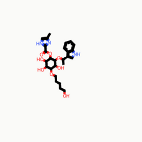 Cc1c[nH]c(C(=O)OC2C(O)C(O)C(OCCCCCO)C(O)C2OC(C)c2c[nH]c3ccccc23)n1